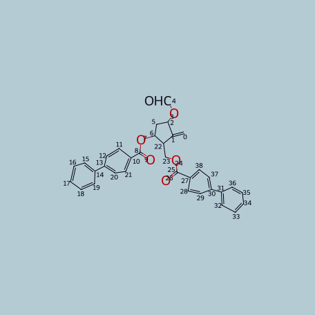 C=C1C(OC=O)CC(OC(=O)c2ccc(-c3ccccc3)cc2)C1COC(=O)c1ccc(-c2ccccc2)cc1